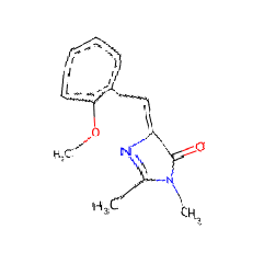 COc1ccccc1C=C1N=C(C)N(C)C1=O